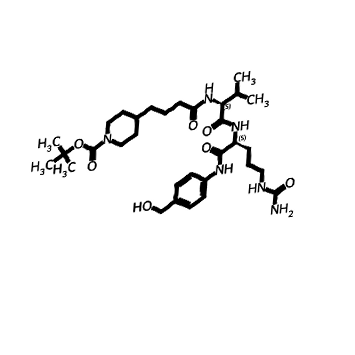 CC(C)[C@H](NC(=O)CCCC1CCN(C(=O)OC(C)(C)C)CC1)C(=O)N[C@@H](CCCNC(N)=O)C(=O)Nc1ccc(CO)cc1